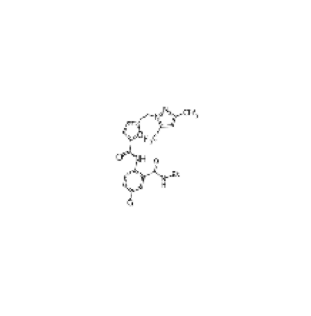 CCNC(=O)c1cc(Cl)ccc1NC(=O)c1ccc(Cn2nc(C)cc2C)o1